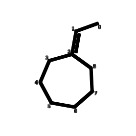 CC=C1CCCCCC1